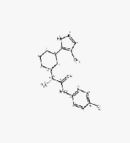 Cc1cn[nH]c1C1CCCN([C@@H](C)C(=O)Nc2ccc(Cl)cn2)C1